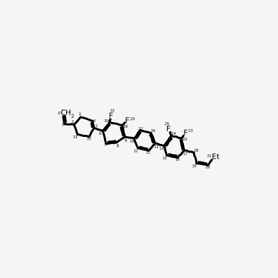 C=CC1CC=C(c2ccc(-c3ccc(-c4ccc(C/C=C\CC)c(F)c4F)cc3)c(F)c2F)CC1